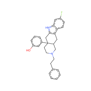 Oc1cccc(C23CCN(CCc4ccccc4)CC2Cc2c([nH]c4cc(F)ccc24)C3)c1